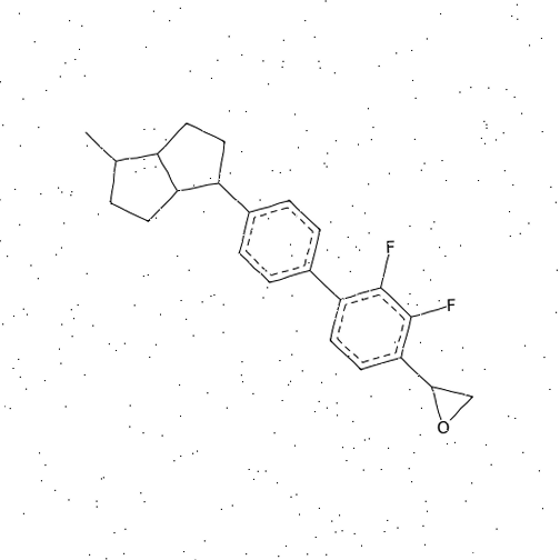 CC1CCC2C(c3ccc(-c4ccc(C5CO5)c(F)c4F)cc3)CCC12